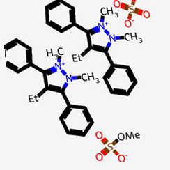 CCc1c(-c2ccccc2)n(C)[n+](C)c1-c1ccccc1.CCc1c(-c2ccccc2)n(C)[n+](C)c1-c1ccccc1.COS(=O)(=O)[O-].O=S(=O)([O-])[O-].[H+]